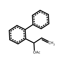 C=CC(OC(C)=O)c1ccccc1-c1ccccc1